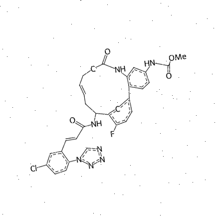 COC(=O)Nc1ccc2c(c1)NC(=O)CC/C=C/CC(NC(=O)/C=C/c1cc(Cl)ccc1-n1cnnn1)c1cc-2ccc1F